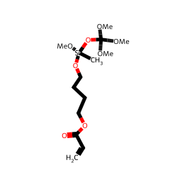 C=CC(=O)OCCCCO[Si](C)(OC)OC(OC)(OC)OC